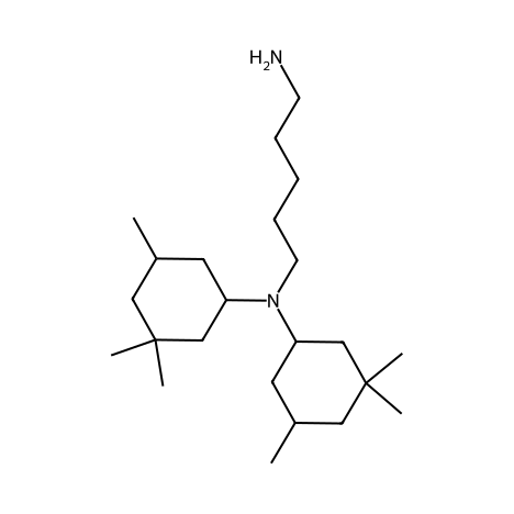 CC1CC(N(CCCCCN)C2CC(C)CC(C)(C)C2)CC(C)(C)C1